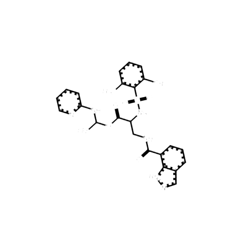 CCCC(Nc1ccccn1)OC(=O)C(CNC(=O)c1cccc2cn[nH]c12)NS(=O)(=O)c1c(C)cccc1C